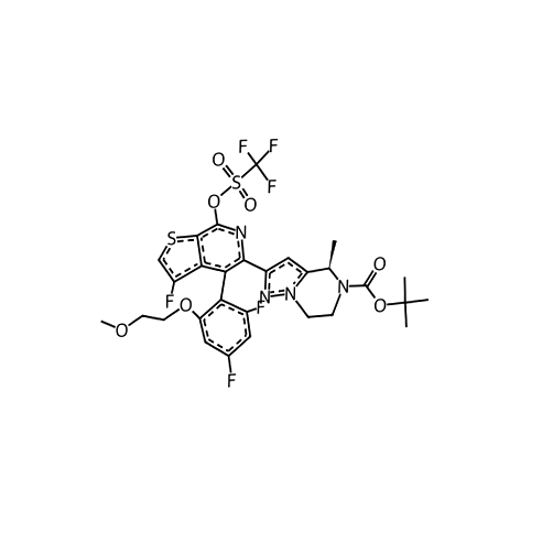 COCCOc1cc(F)cc(F)c1-c1c(-c2cc3n(n2)CCN(C(=O)OC(C)(C)C)[C@@H]3C)nc(OS(=O)(=O)C(F)(F)F)c2scc(F)c12